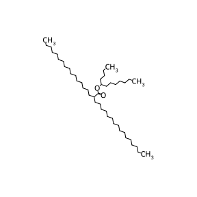 CCCCCCCCCCCCCCCCC(CCCCCCCCCCCCCCCC)C(=O)OC(CCCC)CCCCCCC